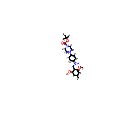 COC1=CC(C)CC(OC)C1CNC1CC=C(N2CCN(C(=O)OC(C)(C)C)CC2)CC1